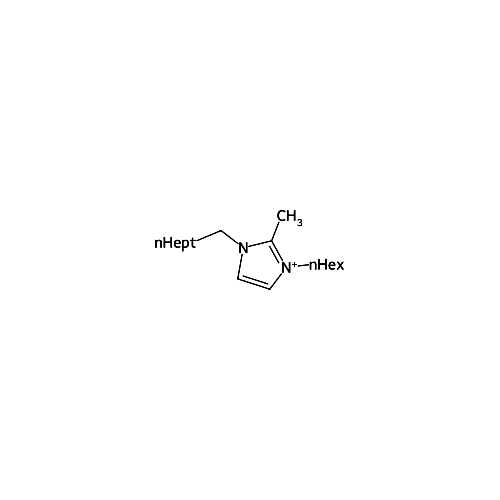 CCCCCCCCn1cc[n+](CCCCCC)c1C